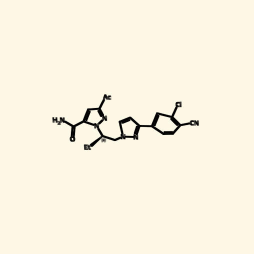 CC[C@H](Cn1ccc(-c2ccc(C#N)c(Cl)c2)n1)n1nc(C(C)=O)cc1C(N)=O